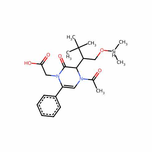 CC(=O)N1C=C(c2ccccc2)N(CC(=O)O)C(=O)C1C(CO[SiH](C)C)C(C)(C)C